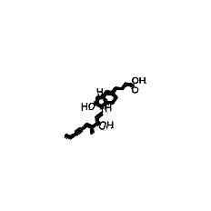 CCC#CCC(C)C(O)C=C[C@H]1[C@H]2CCC(CCCC(=O)O)=C[C@@H]2C[C@H]1O